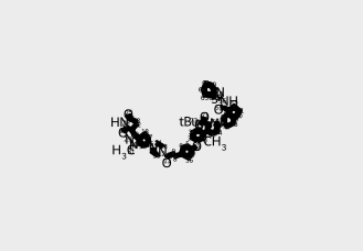 Cc1c(Oc2ccc(CCC(=O)N3CCN(c4ccc5c(C6CCC(=O)NC6=O)nn(C)c5c4)CC3)cc2)cccc1-c1ccc(N2CCc3cccc(C(=O)Nc4nc5ccccc5s4)c3C2)nc1C(=O)OC(C)(C)C